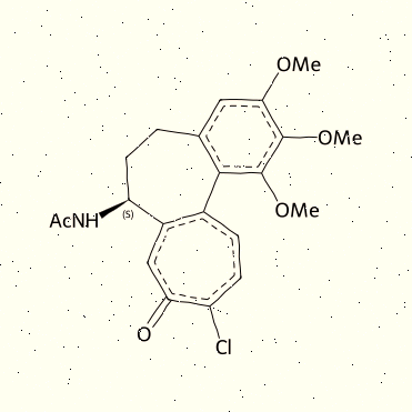 COc1cc2c(c(OC)c1OC)-c1ccc(Cl)c(=O)cc1[C@@H](NC(C)=O)CC2